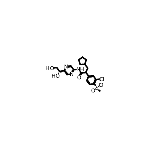 CS(=O)(=O)c1ccc(C(CC2CCCC2)C(=O)Nc2cnc([C@H](O)CO)cn2)cc1Cl